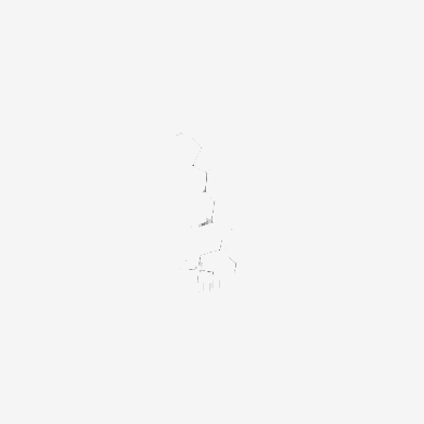 CCCCCCCCCCCCCCCC(=O)O[C@@H](CC(=O)[O-])C[N+](C)(C)C